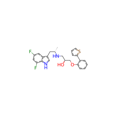 C[C@@H](Cc1c[nH]c2c(F)cc(F)cc12)NC[C@H](O)COc1ccccc1-c1cccs1